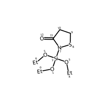 CCO[Si](OCC)(OCC)N1SCCC1=O